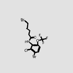 O=C(CCCCBr)Nc1c(OC(F)(F)F)ccc(Br)c1Cl